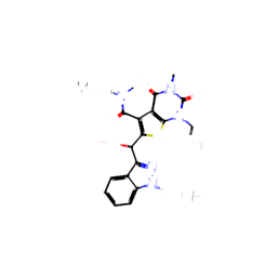 CON(C)C(=O)c1c(C(O)c2nn(C(=O)O)c3ccccc23)sc2c1c(=O)n(C)c(=O)n2CC(C)C